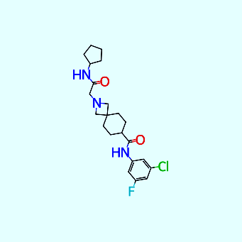 O=C(CN1CC2(CCC(C(=O)Nc3cc(F)cc(Cl)c3)CC2)C1)NC1CCCC1